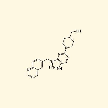 OCC1CCN(c2ccc3c(n2)N(Cc2ccc4ncccc4c2)NN3)CC1